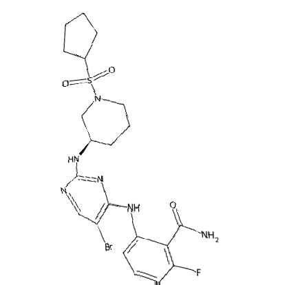 NC(=O)c1c(F)cccc1Nc1nc(N[C@@H]2CCCN(S(=O)(=O)C3CCCC3)C2)ncc1Br